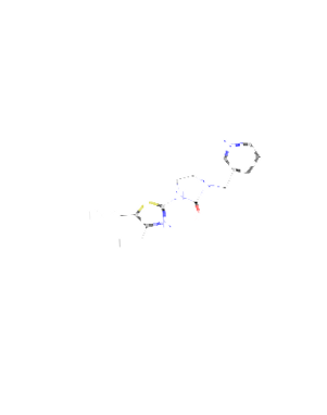 Cc1nc(N2CCN(Cc3cccnc3)C2=O)sc1C(=O)O